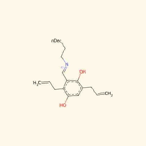 C=CCc1cc(O)c(CC=C)c(/C=N/CCCCCCCCCCCC)c1O